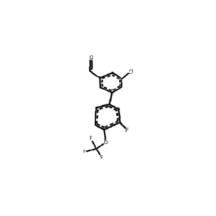 O=Cc1cc(Cl)cc(-c2ccc(OC(F)(F)F)c(F)c2)c1